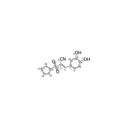 N#C/C(=C\c1ccc(O)c(O)c1)S(=O)(=O)c1ccsc1